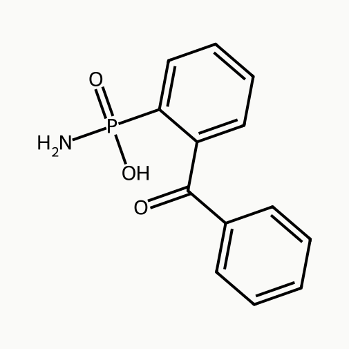 NP(=O)(O)c1ccccc1C(=O)c1ccccc1